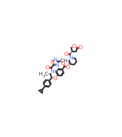 Cc1noc(C(=O)N[C@@H](C)[C@H](Oc2ccc(C(=O)O[C@H]3CCCN(C(=O)[C@H]4COC(=O)C4)C3)cc2)c2ccc(C3CC3)cc2)n1